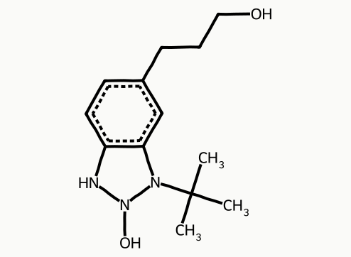 CC(C)(C)N1c2cc(CCCO)ccc2NN1O